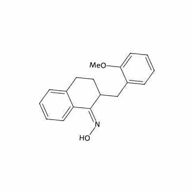 COc1ccccc1CC1CCc2ccccc2/C1=N\O